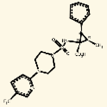 C[C@@H]1[C@H](c2ccccc2)[C@]1(NS(=O)(=O)N1CCN(c2ccc(C(F)(F)F)cn2)CC1)C(=O)O